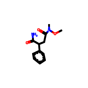 CON(C)C(=O)CC(C(N)=O)c1ccccc1